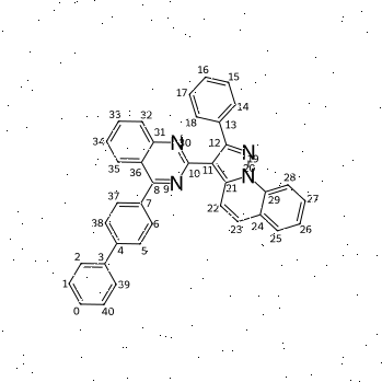 c1ccc(-c2ccc(-c3nc(-c4c(-c5ccccc5)nn5c4ccc4ccccc45)nc4ccccc34)cc2)cc1